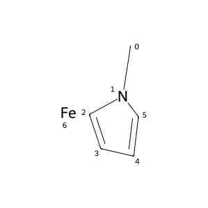 Cn1cccc1.[Fe]